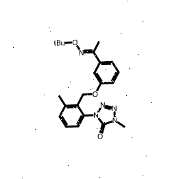 CC(=NOC(C)(C)C)c1cccc(OCc2c(C)cccc2-n2nnn(C)c2=O)c1